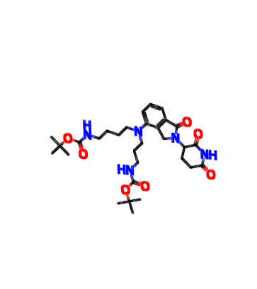 CC(C)(C)OC(=O)NCCCCN(CCCNC(=O)OC(C)(C)C)c1cccc2c1CN(C1CCC(=O)NC1=O)C2=O